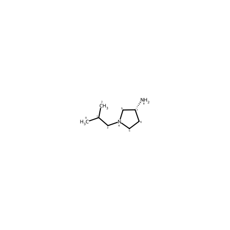 CC(C)CN1CC[C@@H](N)C1